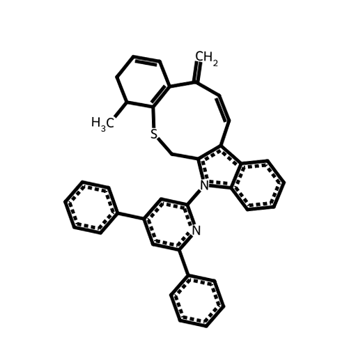 C=C1/C=C\c2c(n(-c3cc(-c4ccccc4)cc(-c4ccccc4)n3)c3ccccc23)CSC2=C1C=CCC2C